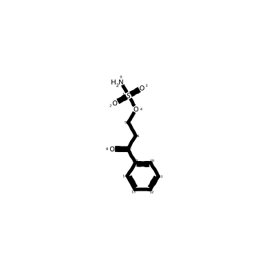 NS(=O)(=O)OCCC(=O)c1ccccc1